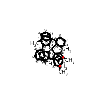 CC1=C(C)C(C)C([Si](c2ccccc2-c2cccc(C)c2)(c2ccccc2-c2cccc(C)c2)c2ccccc2-c2cccc(C)c2)=C1C